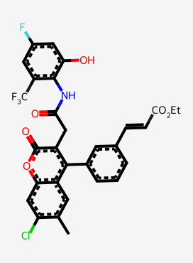 CCOC(=O)/C=C/c1cccc(-c2c(CC(=O)Nc3c(O)cc(F)cc3C(F)(F)F)c(=O)oc3cc(Cl)c(C)cc23)c1